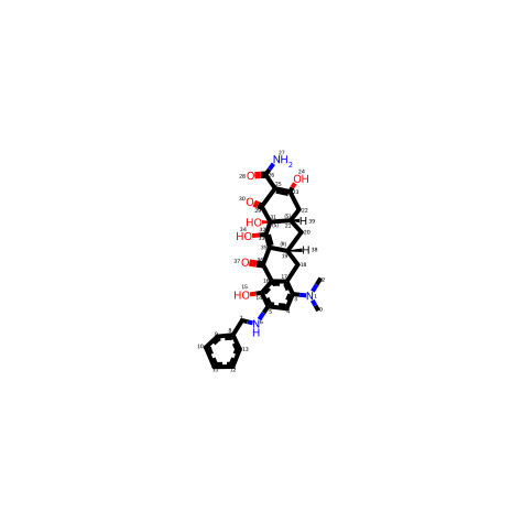 CN(C)c1cc(NCc2ccccc2)c(O)c2c1C[C@H]1C[C@H]3CC(O)=C(C(N)=O)C(=O)[C@@]3(O)C(O)=C1C2=O